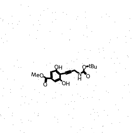 COC(=O)c1cc(O)c(C#CCNC(=O)OC(C)(C)C)c(O)c1